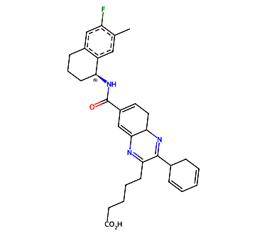 Cc1cc2c(cc1F)CCC[C@@H]2NC(=O)C1=CCC2N=C(C3C=CC=CC3)C(CCCCC(=O)O)=NC2=C1